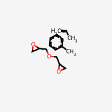 C(OCC1CO1)C1CO1.C=CC.Cc1ccccc1